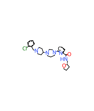 O=C(NC[C@H]1CCCO1)c1cccc(N2CCCN(C3CCN(Cc4ccccc4Cl)CC3)CC2)n1